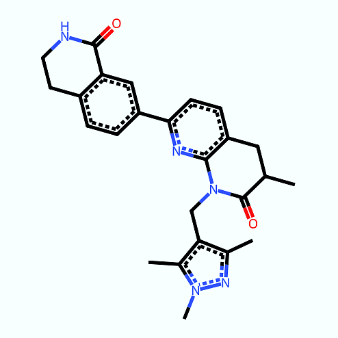 Cc1nn(C)c(C)c1CN1C(=O)C(C)Cc2ccc(-c3ccc4c(c3)C(=O)NCC4)nc21